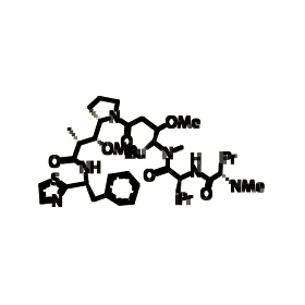 CC[C@H](C)[C@@H](C(CC(=O)N1CCC[C@H]1[C@H](OC)[C@@H](C)C(=O)N[C@@H](Cc1ccccc1)c1nccs1)OC)N(C)C(=O)[C@@H](NC(=O)[C@@H](NC)C(C)C)C(C)C